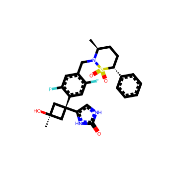 C[C@H]1CC[C@H](c2ccccc2)S(=O)(=O)N1Cc1cc(F)c([C@]2(c3c[nH]c(=O)[nH]3)C[C@](C)(O)C2)cc1F